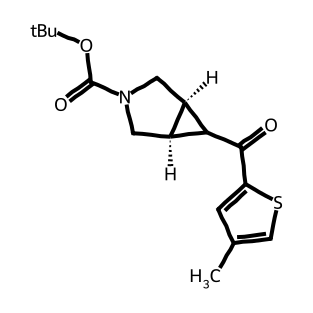 Cc1csc(C(=O)C2[C@H]3CN(C(=O)OC(C)(C)C)C[C@@H]23)c1